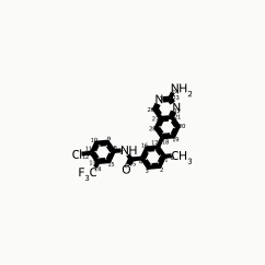 Cc1ccc(C(=O)Nc2ccc(Cl)c(C(F)(F)F)c2)cc1-c1ccc2nc(N)ncc2c1